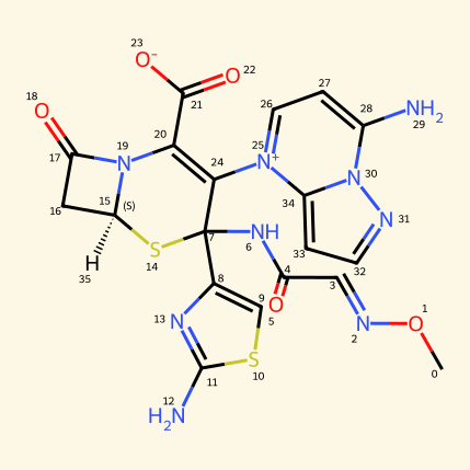 CON=CC(=O)NC1(c2csc(N)n2)S[C@H]2CC(=O)N2C(C(=O)[O-])=C1[n+]1ccc(N)n2nccc21